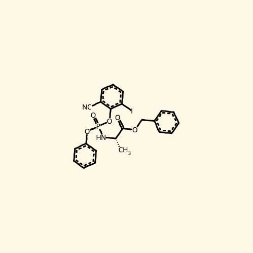 C[C@H](NP(=O)(Oc1ccccc1)Oc1c(I)cccc1C#N)C(=O)OCc1ccccc1